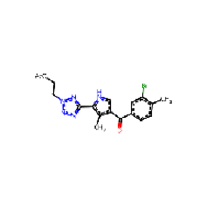 CC(=O)OCCn1nnc(-c2[nH]cc(C(=O)c3ccc(C)c(Br)c3)c2C)n1